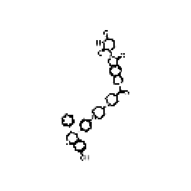 O=C1CCC(N2Cc3cc4c(cc3C2=O)CN(C(=O)C2CCN(C3CCN(c5ccc([C@@H]6c7ccc(O)cc7OC[C@@H]6c6ccccc6)cc5)CC3)CC2)C4)C(=O)N1